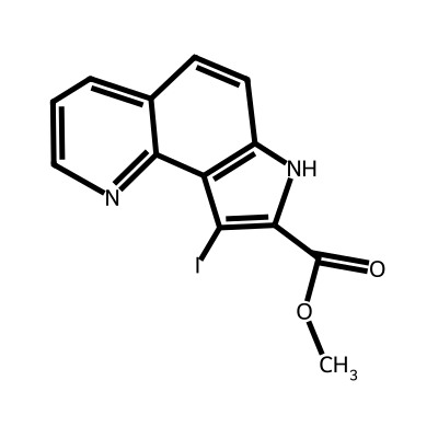 COC(=O)c1[nH]c2ccc3cccnc3c2c1I